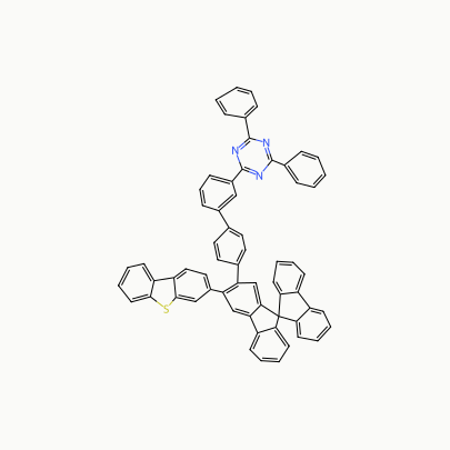 c1ccc(-c2nc(-c3ccccc3)nc(-c3cccc(-c4ccc(-c5cc6c(cc5-c5ccc7c(c5)sc5ccccc57)-c5ccccc5C65c6ccccc6-c6ccccc65)cc4)c3)n2)cc1